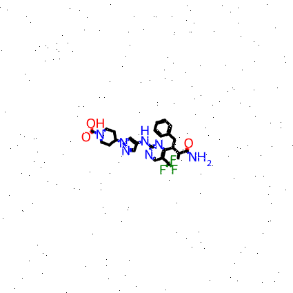 CC(C(N)=O)C(Cc1ccccc1)c1nc(Nc2cnn(C3CCN(C(=O)O)CC3)c2)ncc1C(F)(F)F